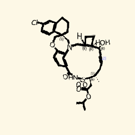 CC(C)OC(=O)C[C@@H]1[C@@H](C)C/C=C\[C@H](O)[C@@H]2CC[C@H]2CN2C[C@@]3(CCCc4cc(Cl)ccc43)COc3ccc(cc32)C(=O)NS1(=O)=O